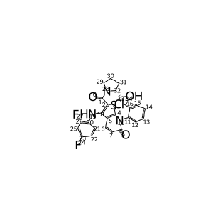 O=C(c1sc2c(ccc(=O)n2-c2ccccc2Cl)c1Nc1ccc(F)cc1F)N1CCC[C@@H]1CO